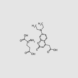 CCN(CC)c1ccc2c(CC(=O)O)cc(=S)oc2c1.N[C@@H](CCC(=O)O)C(=O)O